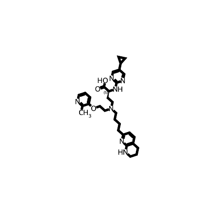 Cc1ncccc1OCCN(CCCCc1ccc2c(n1)NCCC2)CC[C@H](Nc1ncc(C2CC2)cn1)C(=O)O